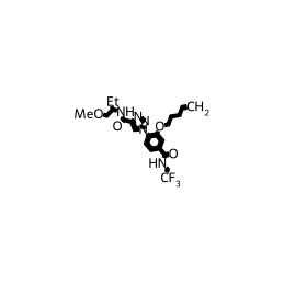 C=CCCCOc1cc(C(=O)NCC(F)(F)F)ccc1-n1cc(C(=O)NC(CC)COC)nn1